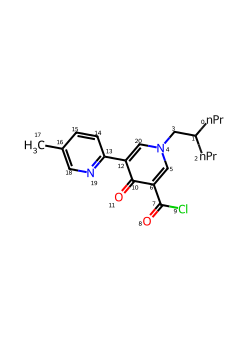 CCCC(CCC)Cn1cc(C(=O)Cl)c(=O)c(-c2ccc(C)cn2)c1